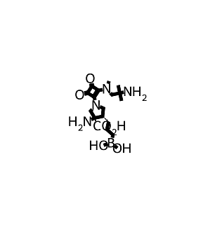 CN(CC(C)(C)N)c1c(N2C[C@H](CCCB(O)O)[C@](N)(C(=O)O)C2)c(=O)c1=O